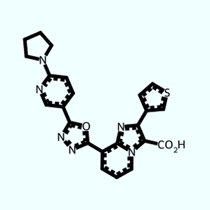 O=C(O)c1c(-c2ccsc2)nc2c(-c3nnc(-c4ccc(N5CCCC5)nc4)o3)cccn12